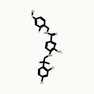 CCSc1ccc(CNC(=O)c2ccc(NCC(C)(C)c3ccc(Cl)cc3Cl)c(N)c2)c(I)c1